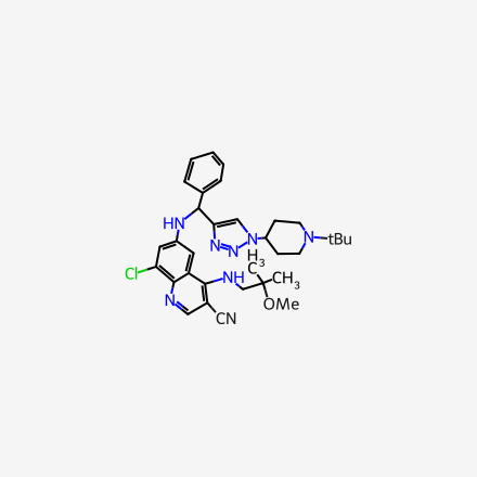 COC(C)(C)CNc1c(C#N)cnc2c(Cl)cc(NC(c3ccccc3)c3cn(C4CCN(C(C)(C)C)CC4)nn3)cc12